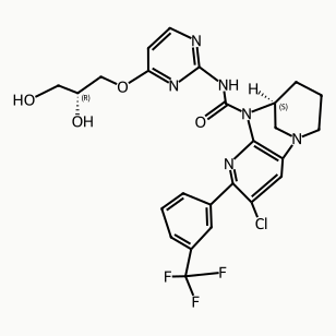 O=C(Nc1nccc(OC[C@H](O)CO)n1)N1c2nc(-c3cccc(C(F)(F)F)c3)c(Cl)cc2N2CCC[C@H]1C2